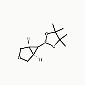 CC1(C)OB(C2[C@H]3COC[C@@H]23)OC1(C)C